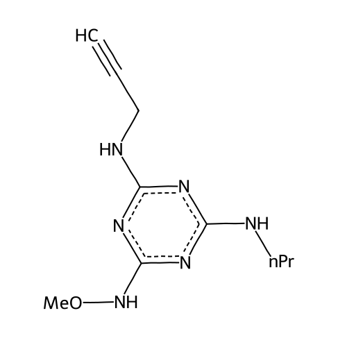 C#CCNc1nc(NCCC)nc(NOC)n1